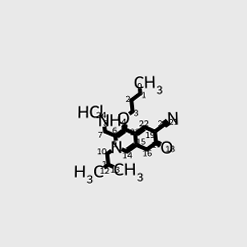 CCCCOC1=C(CN)N(CC(C)C)C=C2CC(=O)C(C#N)C=C21.Cl